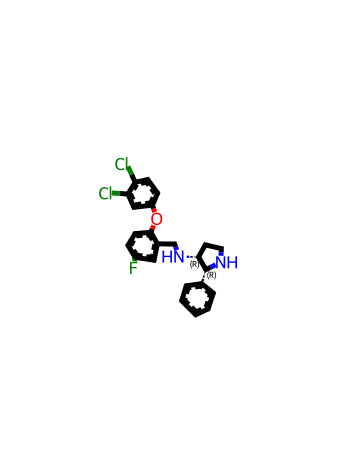 Fc1ccc(Oc2ccc(Cl)c(Cl)c2)c(CN[C@@H]2CCN[C@@H]2c2ccccc2)c1